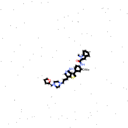 COc1cc(-c2csc3c(/C=C/CN4CCN(C[C@H]5CCCO5)CC4)cnc(N)c23)ccc1NC(=O)c1cc2ccccc2n1C